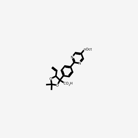 C=CC1OC(C)(C)OC1(C(=O)O)c1ccc(-c2ncc(CCCCCCCC)cn2)cc1